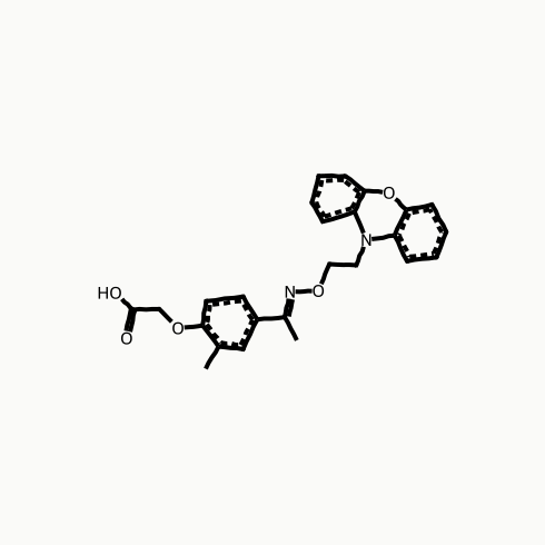 C/C(=N\OCCN1c2ccccc2Oc2ccccc21)c1ccc(OCC(=O)O)c(C)c1